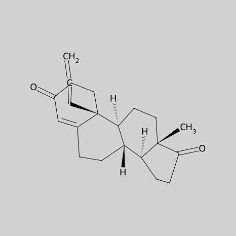 C=C=C[C@]12CCC(=O)C=C1CC[C@@H]1[C@@H]2CC[C@]2(C)C(=O)CC[C@@H]12